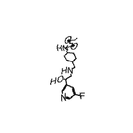 CS(=O)(=O)NC1CCC(CNC[C@H](O)c2cncc(F)c2)CC1